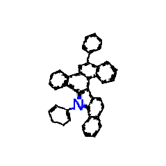 C1=CC(n2c3c4ccccc4ccc3c3c4c5ccccc5c(-c5ccccc5)cc4c4ccccc4c32)=CCC1